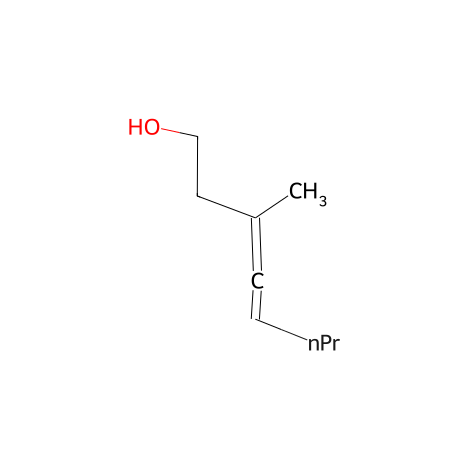 CCCC=C=C(C)CCO